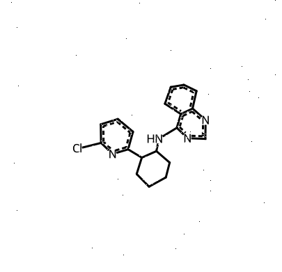 Clc1cccc(C2CCCCC2Nc2ncnc3ccccc23)n1